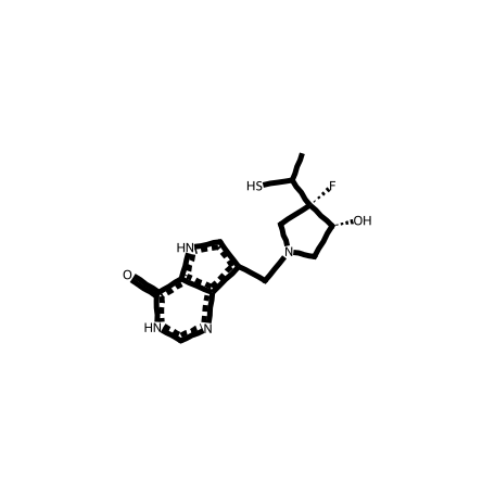 CC(S)[C@]1(F)CN(Cc2c[nH]c3c(=O)[nH]cnc23)C[C@H]1O